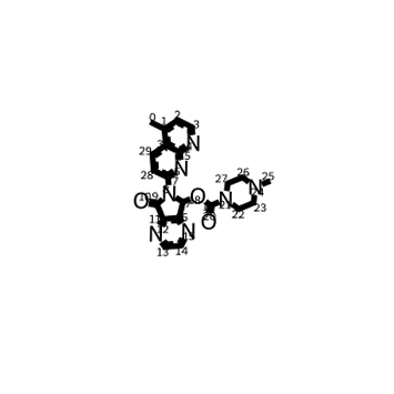 Cc1ccnc2nc(N3C(=O)c4nccnc4C3OC(=O)N3CCN(C)CC3)ccc12